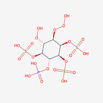 O=P(O)(O)O[C@@H]1[C@@H](OS(=O)(=O)O)[C@H](OO)[C@@H](OOO)[C@@H](OS(=O)(=O)O)[C@H]1OS(=O)(=O)O